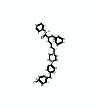 O=C(Nc1ccccc1)C(CCCCN1CCN(c2ccc(Cc3ccc(F)cc3)cc2)CC1)Cc1ccccc1